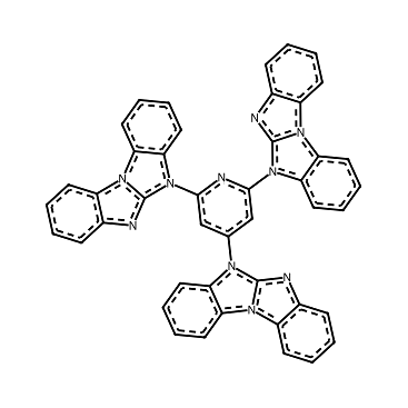 c1ccc2c(c1)nc1n(-c3cc(-n4c5ccccc5n5c6ccccc6nc45)nc(-n4c5ccccc5n5c6ccccc6nc45)c3)c3ccccc3n21